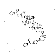 CC(C)[C@@H](OC(=O)N1CCC1)[C@H]1C[C@@H](C)[C@H]2[C@H](O1)[C@H](O)[C@@]1(C)[C@@H]3CC[C@H]4C(C)(C)C(O[C@H]5CN(C6CN(CC(=O)N7CCC7)C6)CCO5)CC[C@@]45C[C@@]35CC[C@]21C